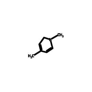 CC1=CCN(C)C=C1